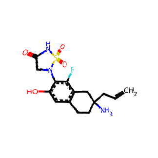 C=CCC1(N)CCc2cc(O)c(N3CC(=O)NS3(=O)=O)c(F)c2C1